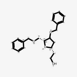 OCC[C@H]1CC(OCc2ccccc2)[C@@H](COCc2ccccc2)O1